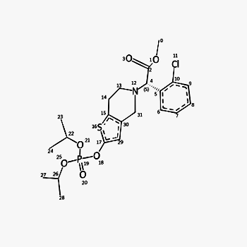 COC(=O)[C@H](c1ccccc1Cl)N1CCc2sc(OP(=O)(OC(C)C)OC(C)C)cc2C1